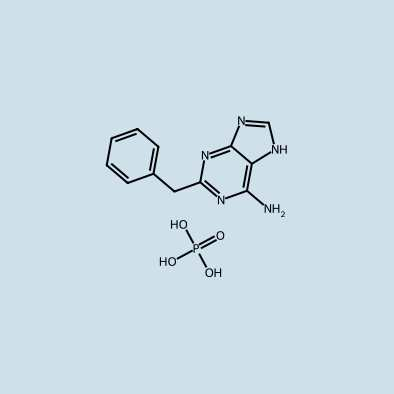 Nc1nc(Cc2ccccc2)nc2nc[nH]c12.O=P(O)(O)O